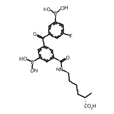 C[C@@H](CCCCNC(=O)c1cc(B(O)O)cc(C(=O)c2cc(F)cc(B(O)O)c2)c1)C(=O)O